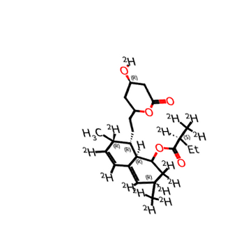 [2H]O[C@H]1CC(=O)OC(CC[C@@H]2[C@@H]3C(=C([2H])[C@]([2H])(C([2H])([2H])[2H])C([2H])([2H])C3OC(=O)[C@]([2H])(CC)C([2H])([2H])[2H])C([2H])=C([2H])[C@]2([2H])C)C1